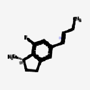 CC/C=C/c1cc(F)c2c(c1)CC[C@@H]2C